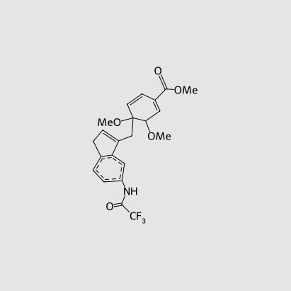 COC(=O)C1=CC(OC)C(CC2=CCc3ccc(NC(=O)C(F)(F)F)cc32)(OC)C=C1